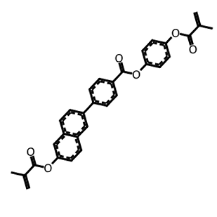 C=C(C)C(=O)Oc1ccc(OC(=O)c2ccc(-c3ccc4cc(OC(=O)C(=C)C)ccc4c3)cc2)cc1